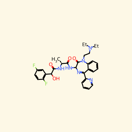 CCN(CC)CCN1C(=O)C(NC(=O)[C@H](C)NC(=O)C(O)c2cc(F)ccc2F)N=C(c2ccccn2)c2ccccc21